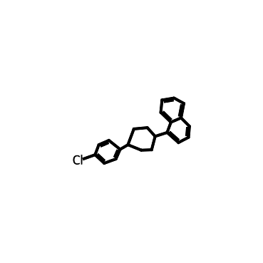 Clc1ccc(C2CCC(c3cccc4ccccc34)CC2)cc1